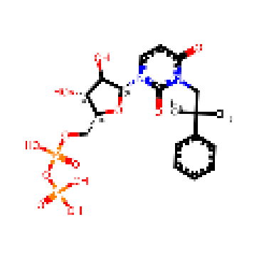 CC(C)(Cn1c(=O)ccn([C@@H]2O[C@H](COP(=O)(O)OP(=O)(O)O)[C@H](O)C2O)c1=O)c1ccccc1